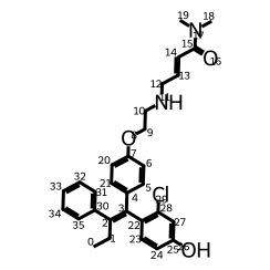 CCC(=C(c1ccc(OCCNCC=CC(=O)N(C)C)cc1)c1ccc(O)cc1Cl)c1ccccc1